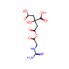 N=C(N)NCC(=O)OC(=O)CC(O)(CC(=O)O)C(=O)O